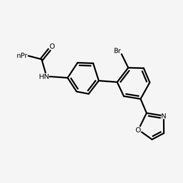 CCCC(=O)Nc1ccc(-c2cc(-c3ncco3)ccc2Br)cc1